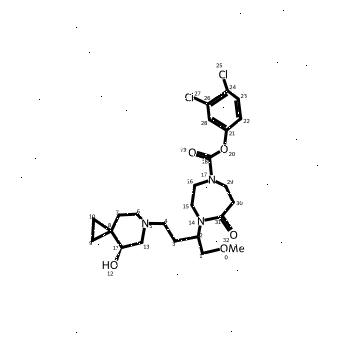 COCC(CCN1CCC2(CC2)[C@H](O)C1)N1CCN(C(=O)Oc2ccc(Cl)c(Cl)c2)CCC1=O